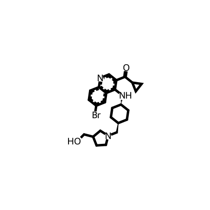 O=C(c1cnc2ccc(Br)cc2c1N[C@H]1CC[C@H](CN2CCC(CO)C2)CC1)C1CC1